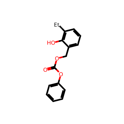 CCc1cccc(COC(=O)Oc2ccccc2)c1O